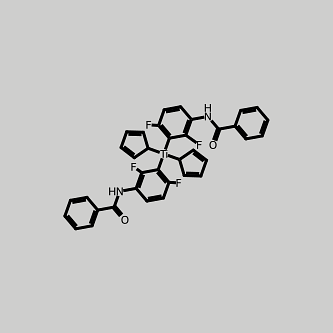 O=C(Nc1ccc(F)[c]([Ti]([c]2c(F)ccc(NC(=O)c3ccccc3)c2F)([CH]2C=CC=C2)[CH]2C=CC=C2)c1F)c1ccccc1